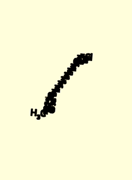 CCOC(=O)c1ccc(OCCCCCCCCCCCCCCCOc2ccc(Cl)cc2)cc1